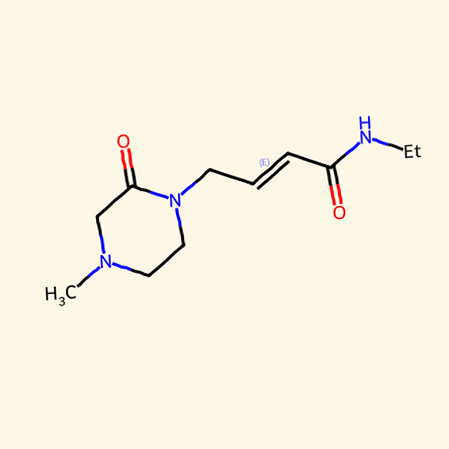 CCNC(=O)/C=C/CN1CCN(C)CC1=O